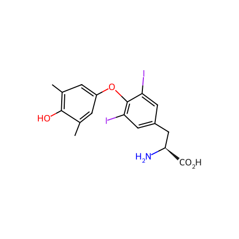 Cc1cc(Oc2c(I)cc(C[C@H](N)C(=O)O)cc2I)cc(C)c1O